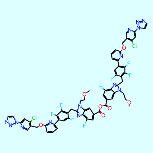 COCCn1c(Cc2c(F)cc(-c3cccc(OCc4cnc(-n5ccnn5)cc4Cl)n3)c(F)c2F)nc2c(F)cc(C(=O)OC(=O)c3cc(F)c4nc(Cc5c(F)cc(-c6cccc(OCc7cnc(-n8ccnn8)cc7Cl)n6)c(F)c5F)n(CCOC)c4c3)cc21